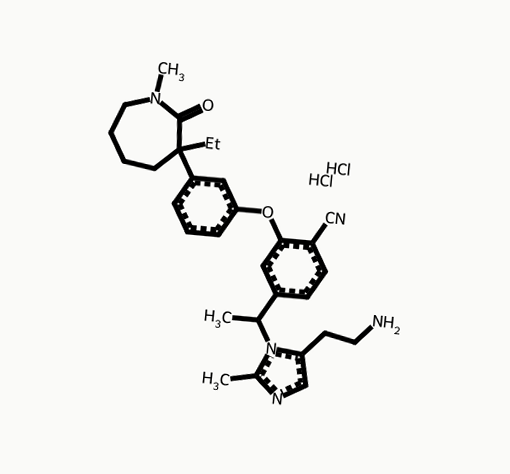 CCC1(c2cccc(Oc3cc(C(C)n4c(CCN)cnc4C)ccc3C#N)c2)CCCCN(C)C1=O.Cl.Cl